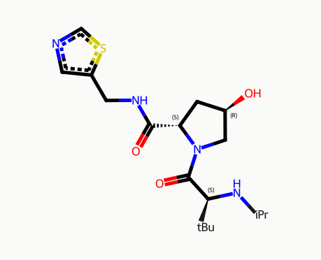 CC(C)N[C@H](C(=O)N1C[C@H](O)C[C@H]1C(=O)NCc1cncs1)C(C)(C)C